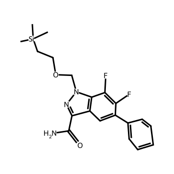 C[Si](C)(C)CCOCn1nc(C(N)=O)c2cc(-c3ccccc3)c(F)c(F)c21